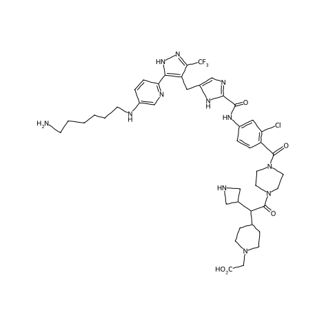 NCCCCCCNc1ccc(-c2[nH]nc(C(F)(F)F)c2Cc2cnc(C(=O)Nc3ccc(C(=O)N4CCN(C(=O)C(C5CCN(CC(=O)O)CC5)C5CNC5)CC4)c(Cl)c3)[nH]2)nc1